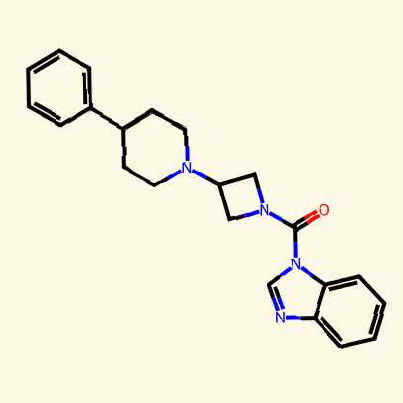 O=C(N1CC(N2CCC(c3ccccc3)CC2)C1)n1cnc2ccccc21